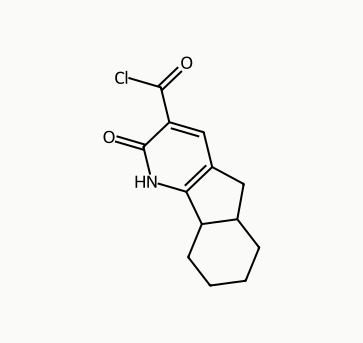 O=C(Cl)c1cc2c([nH]c1=O)C1CCCCC1C2